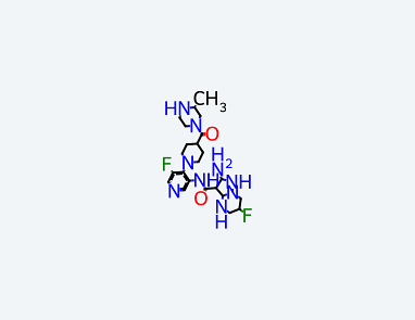 C[C@@H]1CN(C(=O)C2CCN(c3c(F)cncc3NC(=O)C3C(N)NN4CC(F)CNC34)CC2)CCN1